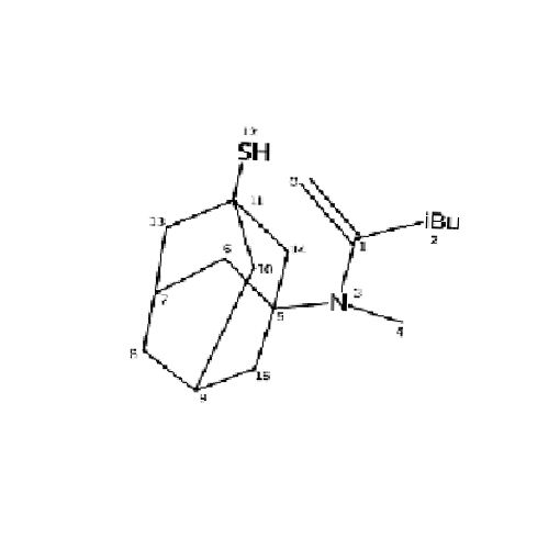 C=C(C(C)CC)N(C)C12CC3CC(CC(S)(C3)C1)C2